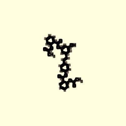 CC(=O)Oc1ccccc1C(=O)Oc1ccc(C=Cc2cc(O)cc(OC(=O)c3ccccc3OC(C)=O)c2)cc1